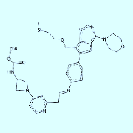 CC(C)(C)OC(=O)NC1CN(c2ccnc(C/C=N/c3ccc(-c4cc5c(N6CCOCC6)ncnc5n4COCC[Si](C)(C)C)cc3)c2)C1